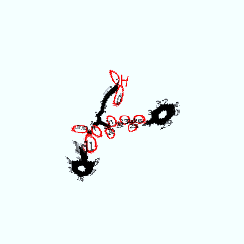 O=C(O)CCCC(COC(=O)OCc1ccccc1)C(=O)OCOC(=O)OCc1ccccc1